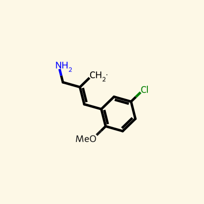 [CH2]/C(=C\c1cc(Cl)ccc1OC)CN